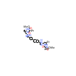 CC[C@H]1C[C@@H](c2ncc(-c3ccc4cc(-c5ccc(-c6cnc([C@@H]7CC8(CC8)CN7C(=O)[C@@H](NC(=O)OC)C(C)C)[nH]6)cc5)ccc4c3)[nH]2)N(C(=O)[C@@H](NC(=O)OC)[C@@H](C)CC)C1